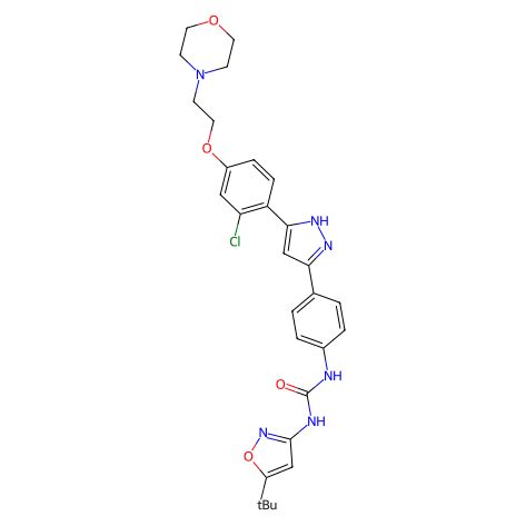 CC(C)(C)c1cc(NC(=O)Nc2ccc(-c3cc(-c4ccc(OCCN5CCOCC5)cc4Cl)[nH]n3)cc2)no1